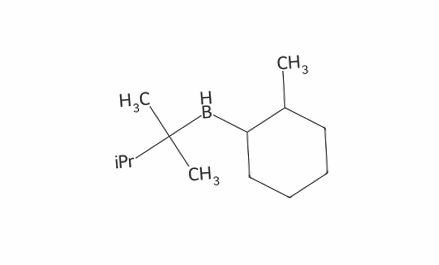 CC1CCCCC1BC(C)(C)C(C)C